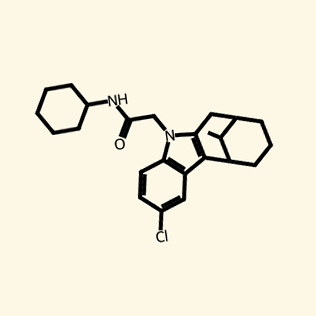 CC1C2CCCC1c1c(n(CC(=O)NC3CCCCC3)c3ccc(Cl)cc13)C2